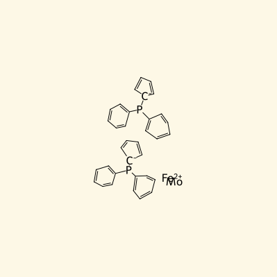 [Fe+2].[Mo].c1ccc(P(c2ccccc2)[c-]2cccc2)cc1.c1ccc(P(c2ccccc2)[c-]2cccc2)cc1